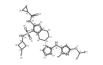 Cn1nc(OC(F)F)cc1Nc1nncn1[C@H]1CCc2sc(NC(=O)C3CC3)c(S(=O)(=O)NC3CC(F)C3)c2C1